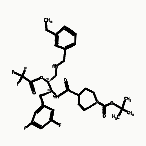 CCc1cccc(CNC[C@@H](OC(=O)C(F)(F)F)[C@H](Cc2cc(F)cc(F)c2)NC(=O)C2CCN(C(=O)OC(C)(C)C)CC2)c1